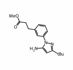 COC(=O)CCc1cccc(-n2nc(C(C)(C)C)cc2N)c1